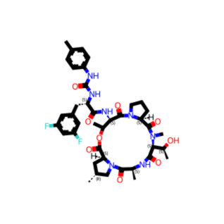 Cc1ccc(NC(=O)N[C@@H](Cc2cc(F)cc(F)c2)C(=O)N[C@@H]2C(=O)N3CCC[C@H]3C(=O)N(C)[C@@H]([C@H](C)O)C(=O)N[C@@H](C)C(=O)N3C[C@H](C)C[C@H]3C(=O)OC2C)cc1